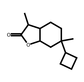 CC1C(=O)OC2CC(C)(C3CCC3)CCC21